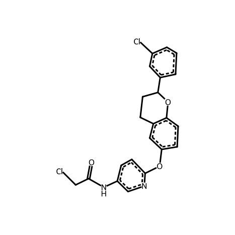 O=C(CCl)Nc1ccc(Oc2ccc3c(c2)CCC(c2cccc(Cl)c2)O3)nc1